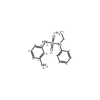 CCN(c1ccccc1)S(=O)(=O)Nc1cccc(N)c1